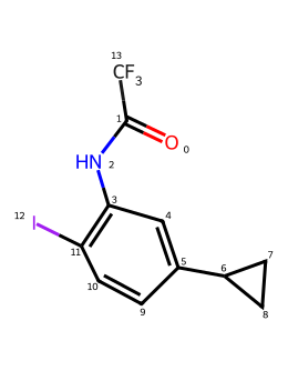 O=C(Nc1cc(C2CC2)ccc1I)C(F)(F)F